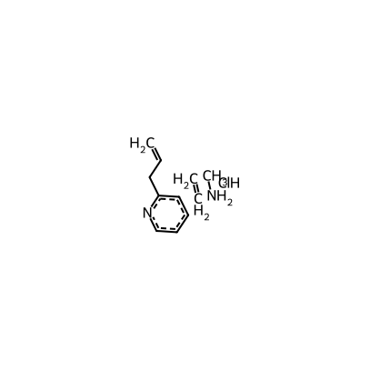 C=C.C=CCc1ccccn1.CN.Cl